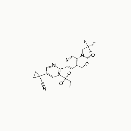 CCS(=O)(=O)c1cc(C2(C#N)CC2)cnc1-c1cc2c(cn1)N(CC(F)(F)F)C(=O)OC2